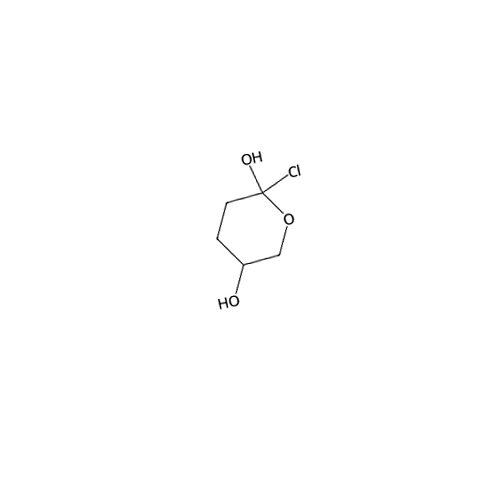 OC1CCC(O)(Cl)OC1